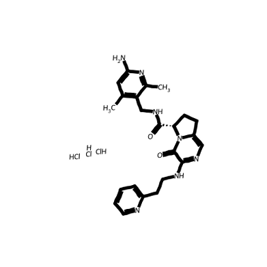 Cc1cc(N)nc(C)c1CNC(=O)[C@@H]1CCc2cnc(NCCc3ccccn3)c(=O)n21.Cl.Cl.Cl